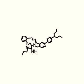 C=C(CCC)C(=N)C(CNc1ccccc1C)N1Cc2ccc(-c3ccc(C(CCC)CCC)cc3)cc2/C1=C/CC